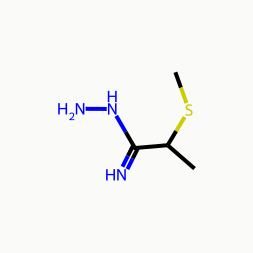 CSC(C)C(=N)NN